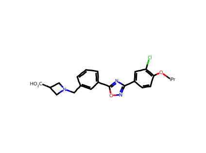 CC(C)Oc1ccc(-c2noc(-c3cccc(CN4CC(C(=O)O)C4)c3)n2)cc1Cl